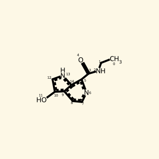 CCNC(=O)c1nccc2c(O)c[nH]c12